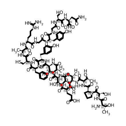 C[C@H](NC(=O)[C@H](CS)NC(=O)[C@H](Cc1ccccc1)NC(=O)[C@H](Cc1ccc(O)cc1)NC(=O)[C@@H](NC(=O)[C@H](C)NC(=O)[C@@H](NC(=O)[C@H](CC(=O)O)NC(=O)[C@H](CCC(=O)O)NC(=O)[C@@H](NC(=O)[C@@H](NC(=O)[C@@H]1CCCN1C(=O)[C@H](CO)NC(=O)[C@@H](N)[C@@H](C)O)[C@@H](C)O)[C@@H](C)O)[C@@H](C)O)[C@@H](C)O)C(=O)N[C@@H](CCCNC(=N)N)C(=O)NCC(=O)N[C@@H](Cc1ccc(O)cc1)C(=O)NCC(=O)N[C@@H](CO)C(=O)N[C@@H](CC(N)=O)C(=O)O